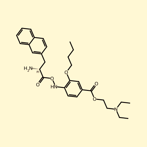 CCCCOc1cc(C(=O)OCCN(CC)CC)ccc1NOC(=O)[C@H](N)Cc1ccc2ccccc2c1